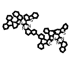 c1ccc2c(c1)ccc1nc(-c3cccc4c3sc3ccccc34)c(-n3c4ccc5ccccc5c4c4c5c(ccc43)c3ccccc3c3cc(-c4ccc6c(ccc7nc(-n8c9ccc%10ccccc%10c9c9c%10c%11ccccc%11c%11ccccc%11c%10ccc98)c(-c8cccc9c8sc8ccccc89)nc76)c4)ccc35)nc12